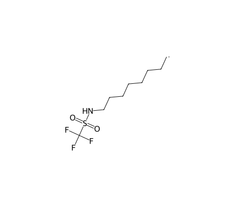 [CH2]CCCCCCCNS(=O)(=O)C(F)(F)F